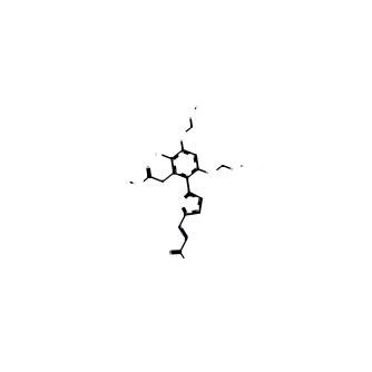 COCOc1cc(OCOC)c(-c2ccc(/C=C/C(C)=O)o2)c(CC(=O)OC)c1Br